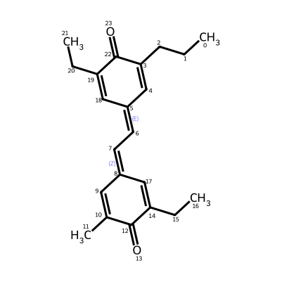 CCCC1=C/C(=C/C=C2/C=C(C)C(=O)C(CC)=C2)C=C(CC)C1=O